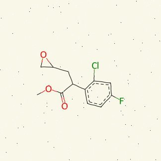 COC(=O)C(CC1CO1)c1ccc(F)cc1Cl